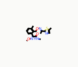 CNC(=O)/C(=N/OC)c1cccc(C)c1CO/N=C(\C)c1ncc(C)s1